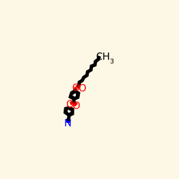 CCCCCCCCCCCC(=O)Oc1ccc(C(=O)Oc2ccc(C#N)cc2)cc1